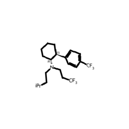 CC(C)CCN(CCC(F)(F)F)[C@@H]1CC[CH]C[C@H]1c1ccc(C(F)(F)F)cc1